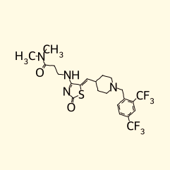 CN(C)C(=O)CCNC1=NC(=O)S/C1=C\C1CCN(Cc2ccc(C(F)(F)F)cc2C(F)(F)F)CC1